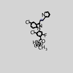 CS(=O)(=O)NC(=O)c1cc(Cl)c(-n2nc(/C=C/c3ccccn3)c3cc(Cl)ccc32)cc1F